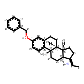 C/C=C1\CC[C@H]2[C@@H]3CCc4cc(OCc5ccccc5)ccc4[C@H]3CC[C@]12C